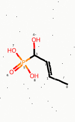 C/C=C/C(O)P(=O)(O)O